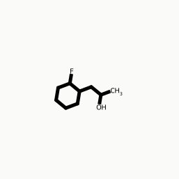 CC(O)CC1CCCCC1F